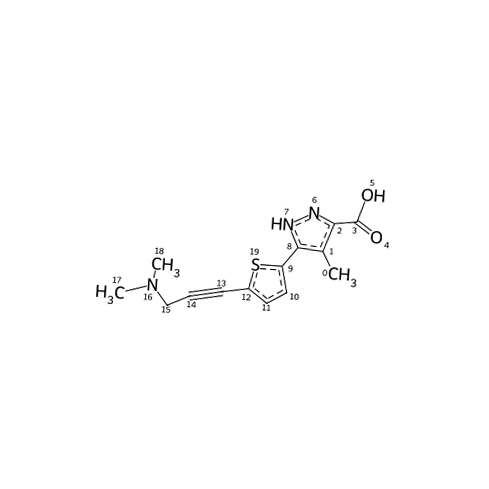 Cc1c(C(=O)O)n[nH]c1-c1ccc(C#CCN(C)C)s1